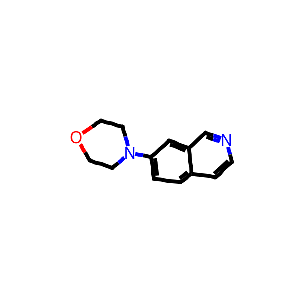 c1cc2ccc(N3CCOCC3)cc2cn1